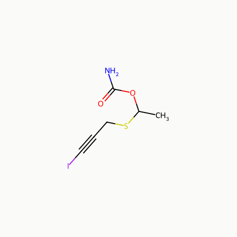 CC(OC(N)=O)SCC#CI